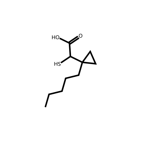 CCCCCC1(C(S)C(=O)O)CC1